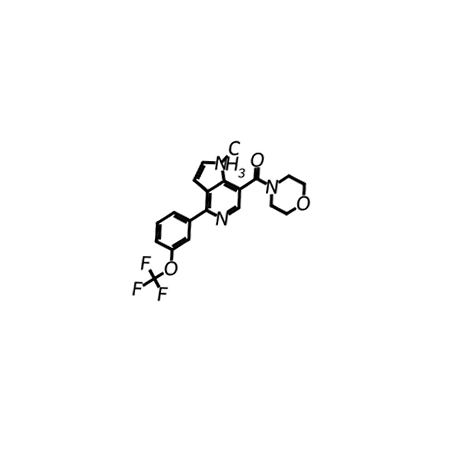 Cn1ccc2c(-c3cccc(OC(F)(F)F)c3)ncc(C(=O)N3CCOCC3)c21